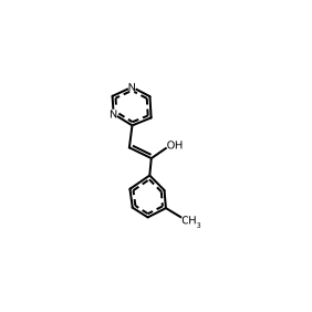 Cc1cccc(/C(O)=C/c2ccncn2)c1